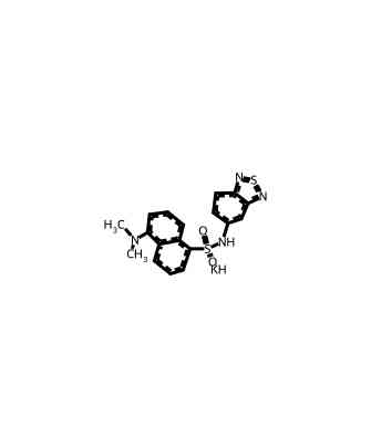 CN(C)c1cccc2c(S(=O)(=O)Nc3ccc4nsnc4c3)cccc12.[KH]